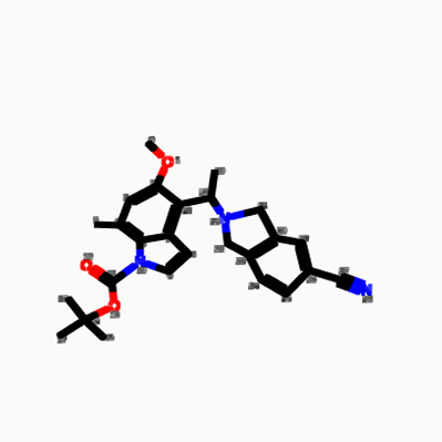 COc1cc(C)c2c(ccn2C(=O)OC(C)(C)C)c1C(C)N1Cc2ccc(C#N)cc2C1